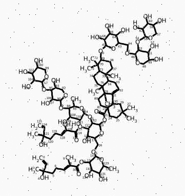 C=CC(C)(O)CC/C=C(\C)C(=O)OC1C(OCC2OC(OC(=O)C34CCC(C)(C)CC3C3=CCC5C6(C)CCC(OC7OC(COC8OCC(O)C(O)C8OC8OCC(O)C(O)C8O)C(O)C(O)C7O)C(C)(C)C6CCC5(C)C3(C)CC4)C(OC3OC(C)C(OC4OCC(O)C(OC5OCC(O)C(O)C5O)C4O)C(O)C3O)C(OC(=O)/C(C)=C/CCC(C)(O)C=C)C2O)OC(C)C(O)C1O